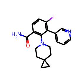 NC(=O)c1ccc(I)c(-c2cccnc2)c1N1CCC2(CC1)CC2